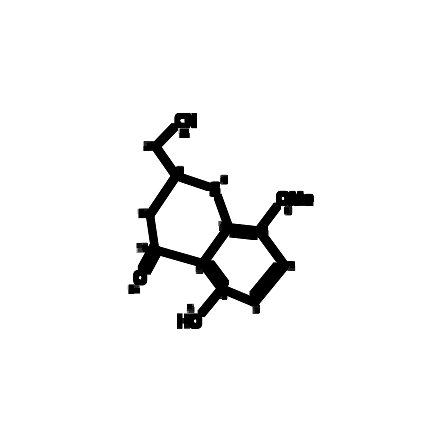 COc1ccc(O)c2c1SC(CC#N)CC2=O